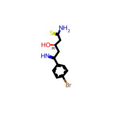 N=C(C[C@@H](O)CC(N)=S)c1ccc(Br)cc1